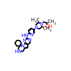 C[C@H](O)CN1[C@H](C)CN(c2ccc(Nc3ncc4cc5n(c4n3)C3(CCCCC3)CNC5)nc2)C[C@@H]1C